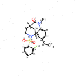 CCN(C(=O)C1(C)CCN(S(=O)(=O)c2ccccc2F)CC1)c1ccc(CC(F)(F)F)cc1